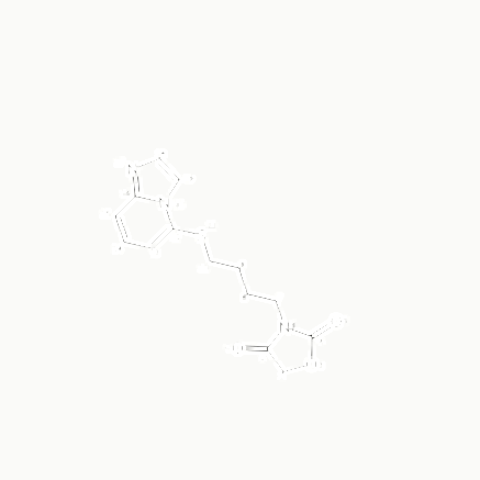 O=C1COC(=O)N1CCCCSc1cccc2nccn12